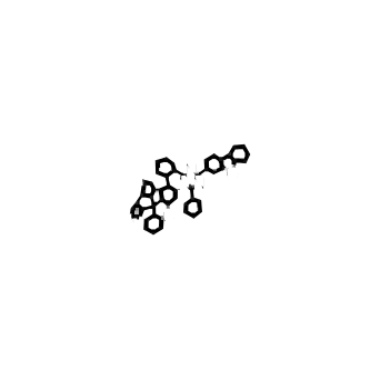 c1ccc(-c2nc(-c3ccc4c(c3)oc3ccccc34)nc(-c3ccccc3-c3ccc4c(c3)C3(c5ccccc5O4)c4ccccc4-c4ccccc43)n2)cc1